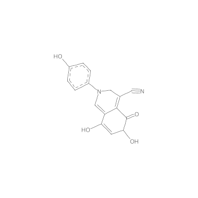 N#CC1=C2C(=O)C(O)C=C(O)C2=CN(c2ccc(O)cc2)C1